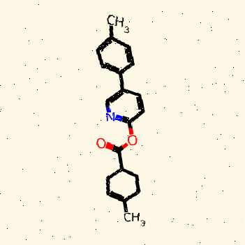 CC1=CCC(C(=O)Oc2ccc(-c3ccc(C)cc3)cn2)CC1